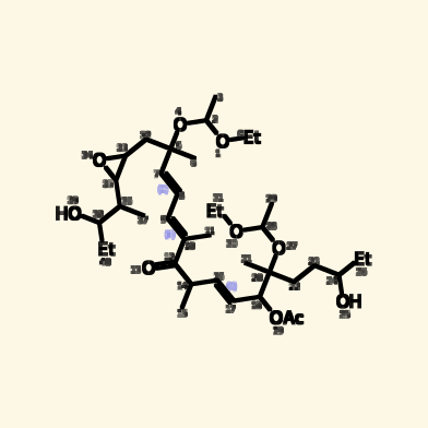 CCOC(C)OC(C)(/C=C/C=C(\C)C(=O)C(C)/C=C/C(OC(C)=O)C(C)(CCC(O)CC)OC(C)OCC)CC1OC1C(C)C(O)CC